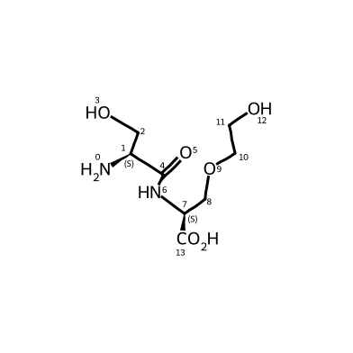 N[C@@H](CO)C(=O)N[C@@H](COCCO)C(=O)O